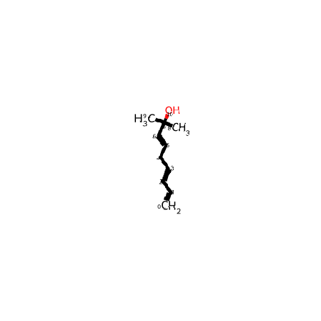 C=C/C=C/C/C=C/C(C)(C)O